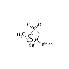 CC(=O)O.CCCCCCCCS(=O)(=O)[O-].[Na+]